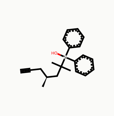 C#CC[C@H](C)CC(C)(C)[Si](O)(c1ccccc1)c1ccccc1